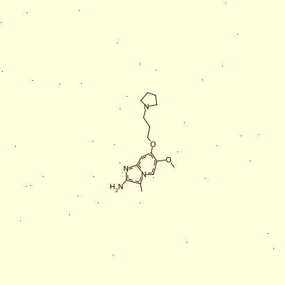 COc1cn2c(C)c(N)nc2cc1OCCCN1CCCC1